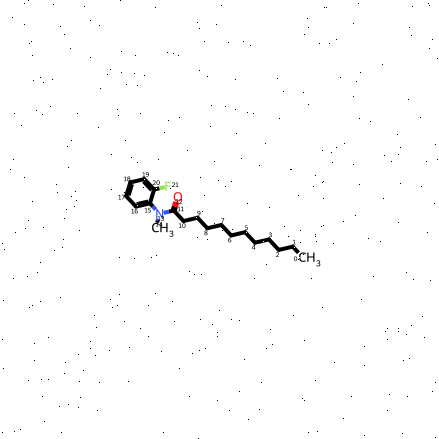 CCCCCCCCCCCC(=O)N(C)c1ccccc1F